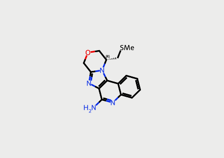 CSC[C@H]1COCc2nc3c(N)nc4ccccc4c3n21